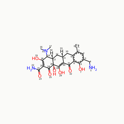 CCc1cc(CN)c(O)c2c1C[C@H]1C[C@H]3C(N(C)C)C(O)=C(C(N)=O)C(=O)[C@@]3(O)C(O)=C1C2=O